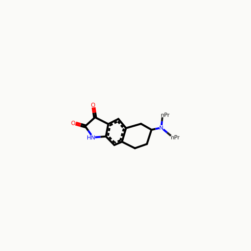 CCCN(CCC)C1CCc2cc3c(cc2C1)C(=O)C(=O)N3